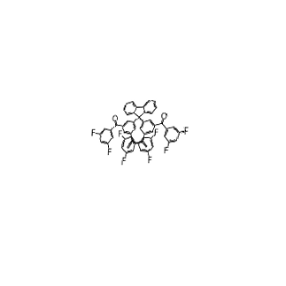 C=C(c1cc(F)cc(F)c1)c1cc(C(=O)c2cc(F)cc(F)c2)cc(C2(c3cc(C(=C)c4cc(F)cc(F)c4)cc(C(=O)c4cc(F)cc(F)c4)c3)c3ccccc3-c3ccccc32)c1